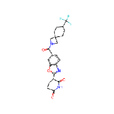 O=C1CCC(c2nc3ccc(C(=O)N4CC5(CCC(C(F)(F)F)CC5)C4)cc3o2)C(=O)N1